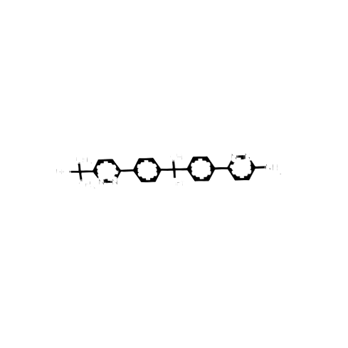 CC(C)C(C)(c1ccc(-c2ccc(N)nn2)cc1)c1ccc(-c2ccc(C(C)(C)O)nn2)cc1